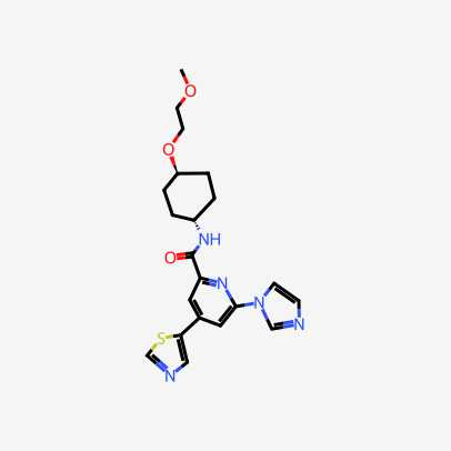 COCCO[C@H]1CC[C@H](NC(=O)c2cc(-c3cncs3)cc(-n3ccnc3)n2)CC1